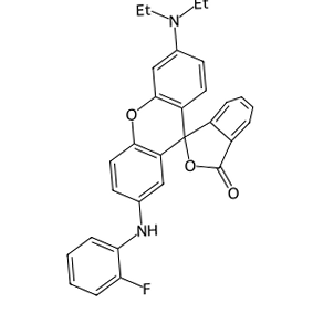 CCN(CC)c1ccc2c(c1)Oc1ccc(Nc3ccccc3F)cc1C21OC(=O)c2ccccc21